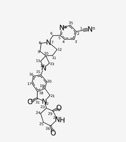 N#Cc1ccc(CN2CCC3(CC2)CN(c2ccc4c(c2)CN(C2CCC(=O)NC2=O)C4=O)C3)nc1